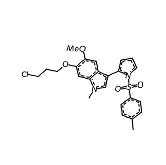 COc1cc2c(-c3cccn3S(=O)(=O)c3ccc(C)cc3)cn(C)c2cc1OCCCCl